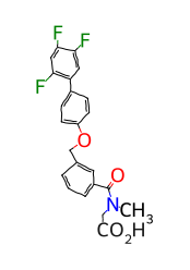 CN(CC(=O)O)C(=O)c1cccc(COc2ccc(-c3cc(F)c(F)cc3F)cc2)c1